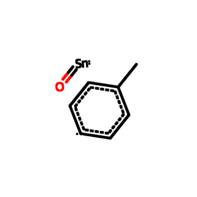 Cc1cc[c]cc1.[O]=[Sn]